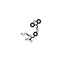 CCCOC(Cc1ccc(OCCC2c3ccccc3Oc3ccccc32)cc1)C(=O)O